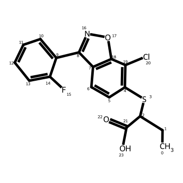 CCC(Sc1ccc2c(-c3ccccc3F)noc2c1Cl)C(=O)O